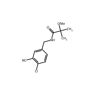 COC(C)(C)C(=O)NCc1ccc(Cl)c(C#N)c1